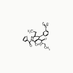 CCOC(=O)C1=C(C)N(C(=O)c2cccs2)N=C(CC)C1c1cccc([N+](=O)[O-])c1